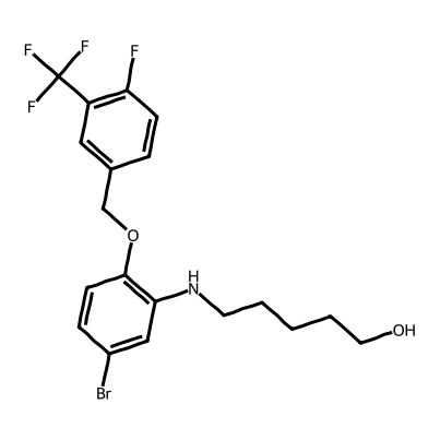 OCCCCCNc1cc(Br)ccc1OCc1ccc(F)c(C(F)(F)F)c1